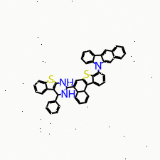 C1=CC2C(C3Nc4sc5ccccc5c4C(c4ccccc4)N3)=Cc3sc4c(-n5c6ccccc6c6cc7ccccc7cc65)cccc4c3C2C=C1